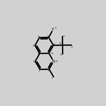 Cc1ccc2ccc(F)c(C(C)(C)C)c2n1